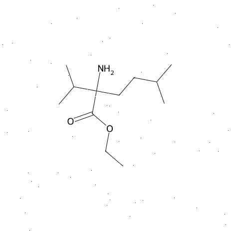 CCOC(=O)C(N)(CCC(C)C)C(C)C